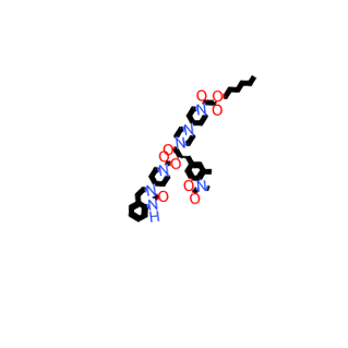 CCCCCCOC(=O)C(=O)N1CCC(N2CCN(C(=O)[C@@H](Cc3cc(C)c4c(c3)oc(=O)n4C)OC(=O)N3CCC(N4CCc5ccccc5NC4=O)CC3)CC2)CC1